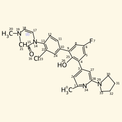 Cc1cc(-c2cc(F)cc(-c3ccc(N(C=O)/C=C\N(C)C)c(Cl)c3)c2O)cc(N2CCCC2)n1